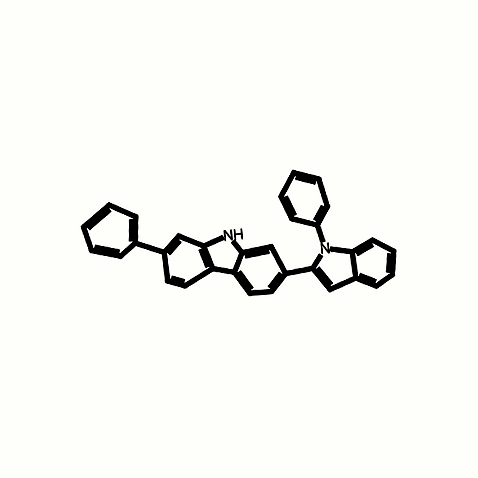 c1ccc(-c2ccc3c(c2)[nH]c2cc(-c4cc5ccccc5n4-c4ccccc4)ccc23)cc1